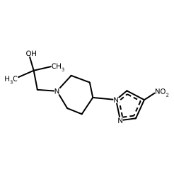 CC(C)(O)CN1CCC(n2cc([N+](=O)[O-])cn2)CC1